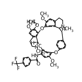 COc1cc(NC(=O)c2ccc(C(F)(F)F)cc2)c2cc1Oc1ccc(cc1)C[C@H]1c3cc(c(OC)cc3CCN1C)Oc1c(OC)c(OC)cc3c1[C@H](C2)N(C)CC3